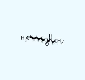 [CH2]CNC(=O)OCCCCCCC